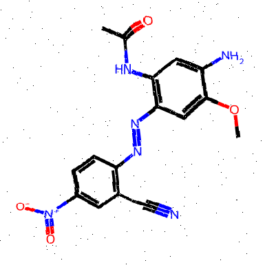 COc1cc(N=Nc2ccc([N+](=O)[O-])cc2C#N)c(NC(C)=O)cc1N